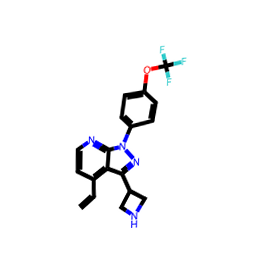 C=Cc1ccnc2c1c(C1CNC1)nn2-c1ccc(OC(F)(F)F)cc1